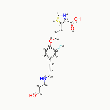 O=C(O)c1ncsc1CCCOc1ccc(C#CCNCCCO)cc1F